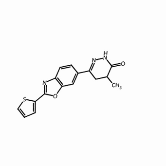 CC1CC(c2ccc3nc(-c4cccs4)oc3c2)=NNC1=O